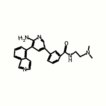 CN(C)CCNC(=O)c1cccc(-c2cnc(N)c(-c3cccc4cnccc34)c2)c1